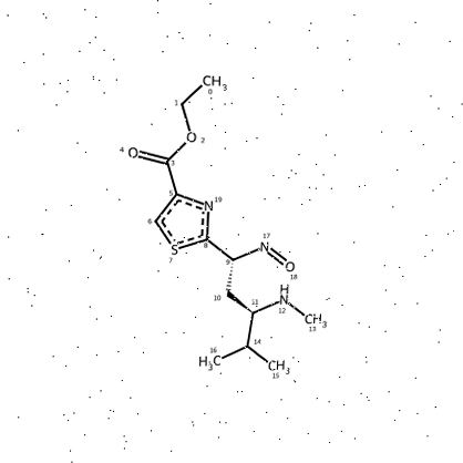 CCOC(=O)c1csc([C@@H](C[C@@H](NC)C(C)C)N=O)n1